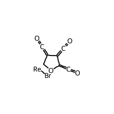 O=C=C1COC(=C=O)C1=C=O.[Br][Re]